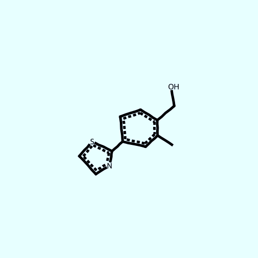 Cc1cc(-c2nccs2)ccc1CO